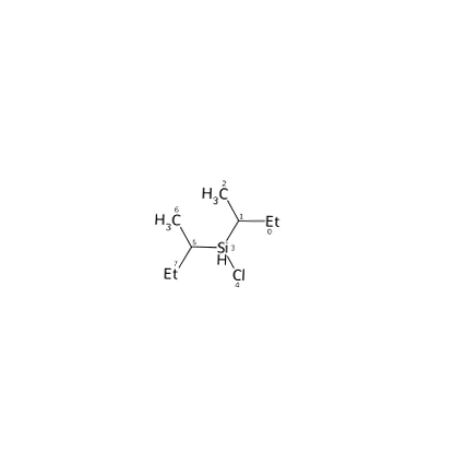 CCC(C)[SiH](Cl)C(C)CC